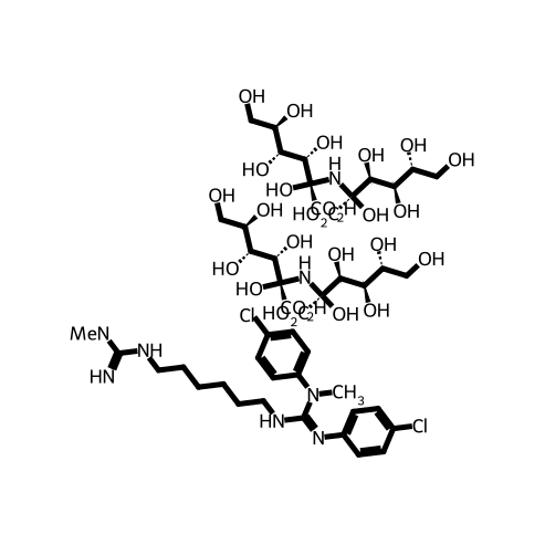 CNC(=N)NCCCCCCNC(=Nc1ccc(Cl)cc1)N(C)c1ccc(Cl)cc1.O=C(O)[C@](O)(N[C@@](O)(C(=O)O)[C@@H](O)[C@H](O)[C@H](O)CO)[C@@H](O)[C@H](O)[C@H](O)CO.O=C(O)[C@](O)(N[C@@](O)(C(=O)O)[C@@H](O)[C@H](O)[C@H](O)CO)[C@@H](O)[C@H](O)[C@H](O)CO